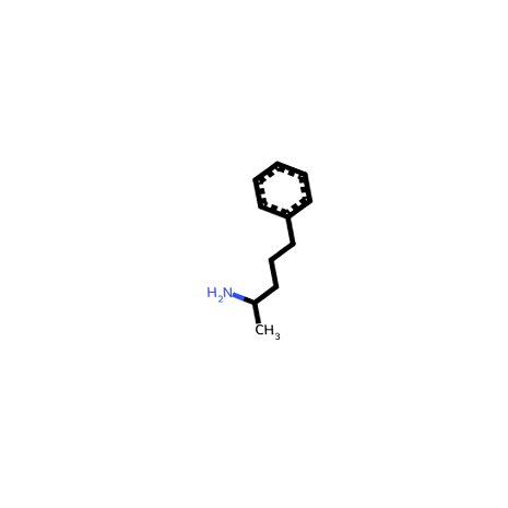 CC(N)CCCc1ccccc1